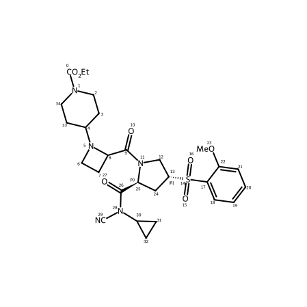 CCOC(=O)N1CCC(N2CCC2C(=O)N2C[C@H](S(=O)(=O)c3ccccc3OC)C[C@H]2C(=O)N(C#N)C2CC2)CC1